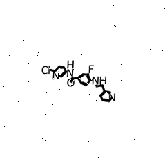 O=C(Nc1ccc(Cl)nc1)c1ccc(NCCc2cccnc2)c(F)c1